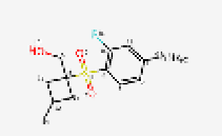 CC(=O)Nc1ccc(S(=O)(=O)C2(CO)CC(C)C2)c(F)c1